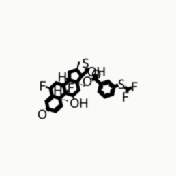 C[C@@H]1C[C@H]2[C@@H]3C[C@H](F)C4=CC(=O)C=C[C@]4(C)[C@@]3(F)[C@@H](O)C[C@]2(C)[C@@]1(OC(=O)c1cccc(SC(F)F)c1)C(O)=S